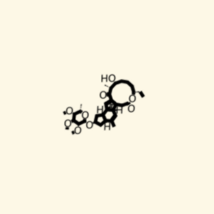 CC[C@H]1CCC[C@H](O)[C@@H](C)C(=O)C2=C[C@@H]3[C@@H](C=C(C)[C@@H]4C[C@@H](O[C@@H]5O[C@@H](C)[C@H](OC)C(OC)[C@H]5OC)C[C@@H]34)[C@@H]2CC(=O)O1